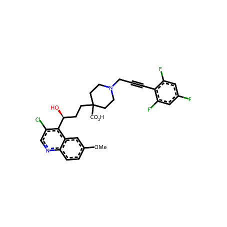 COc1ccc2ncc(Cl)c([C@@H](O)CCC3(C(=O)O)CCN(CC#Cc4c(F)cc(F)cc4F)CC3)c2c1